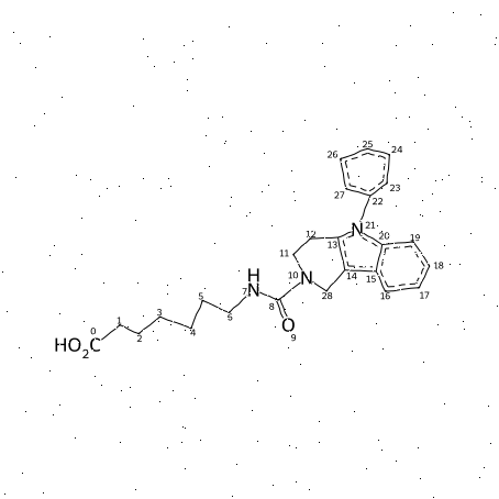 O=C(O)CCCCCCNC(=O)N1CCc2c(c3ccccc3n2-c2ccccc2)C1